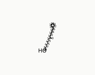 C=C(CCCCCCCCO)CCCCCCc1ccccc1